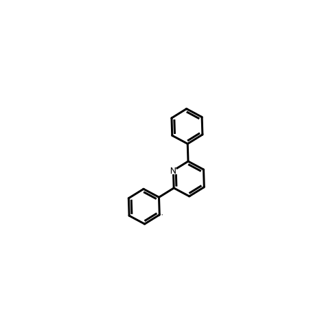 [c]1ccccc1-c1cccc(-c2ccccc2)n1